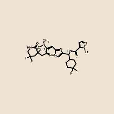 CCn1nccc1C(=O)NC(c1cn2nc(CC3(C(=O)O)CC(F)(F)CNC3=O)c(N(C)C)cc2n1)C1CCC(F)(F)CC1